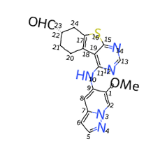 COc1cn2nccc2cc1Nc1ncnc2sc3c(c12)CC[C@H](C=O)C3